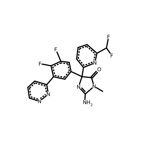 CN1C(=O)C(c2cc(F)c(F)c(-c3cccnn3)c2)(c2cccc(C(F)F)n2)N=C1N